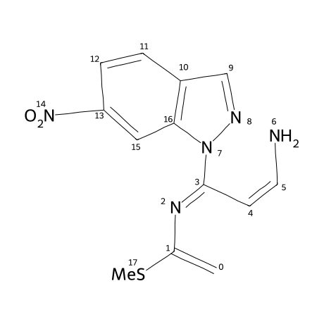 C=C(/N=C(\C=C/N)n1ncc2ccc([N+](=O)[O-])cc21)SC